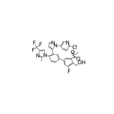 Cc1nc(C(F)(F)F)cn1-c1ccc(-c2cc(F)c(CO)c(S(C)(=O)=O)c2)cc1-c1ccnn1-c1ccc(Cl)nc1